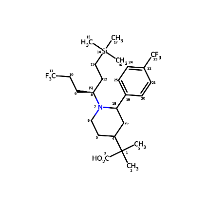 CC(C)(C(=O)O)C1CCN([C@@H](CCC(F)(F)F)CC[Si](C)(C)C)C(c2ccc(C(F)(F)F)cc2)C1